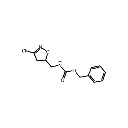 O=C(NCC1CC(Cl)=NO1)OCc1ccccc1